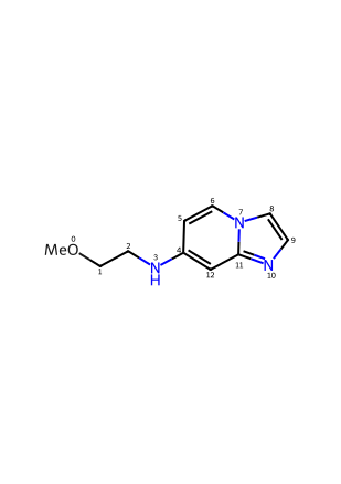 COCCNc1ccn2ccnc2c1